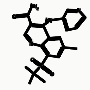 Cc1cc(S(=O)(=O)C(C)(C)C)c2ncc(C(N)=O)c(Nc3cccnc3)c2c1